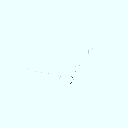 CCCCCCCCCC(=O)Oc1ccccc1OC(=O)CCCCCCC(CC)CC